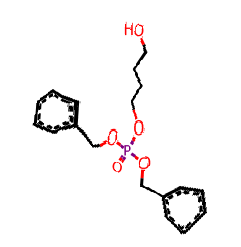 O=P(OCCCCO)(OCc1ccccc1)OCc1ccccc1